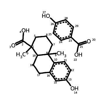 CC1(C(=O)O)CCCC2(C)c3ccc(O)cc3CCC12.O=C(O)c1ccc(O)cc1